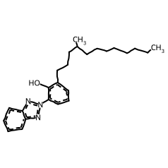 CCCCCCCCC(C)CCCc1cccc(-n2nc3ccccc3n2)c1O